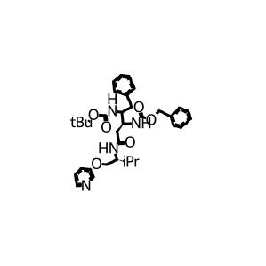 CC(C)[C@H](COc1cccnc1)NC(=O)C[C@H](NC(=O)OCc1ccccc1)C(Cc1ccccc1)NC(=O)OC(C)(C)C